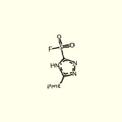 CCCC(C)c1nnc(S(=O)(=O)F)[nH]1